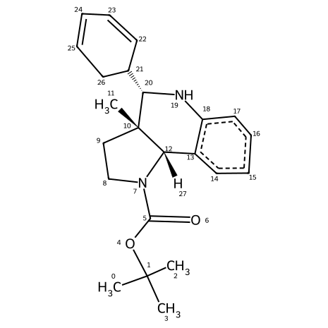 CC(C)(C)OC(=O)N1CC[C@@]2(C)[C@@H]1c1ccccc1N[C@H]2C1C=CC=CC1